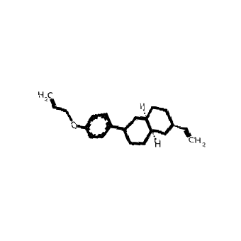 C=CCOc1ccc(C2CC[C@@H]3C[C@H](C=C)CC[C@@H]3C2)cc1